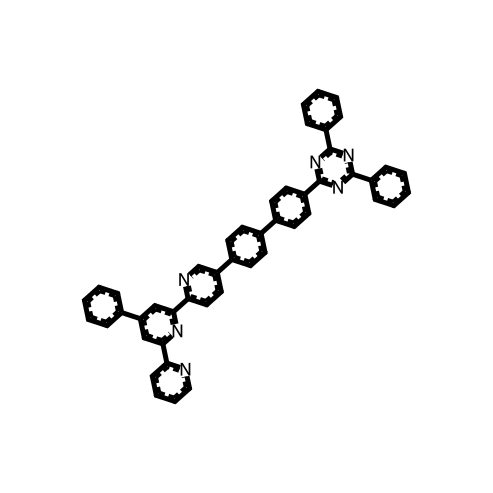 c1ccc(-c2cc(-c3ccccn3)nc(-c3ccc(-c4ccc(-c5ccc(-c6nc(-c7ccccc7)nc(-c7ccccc7)n6)cc5)cc4)cn3)c2)cc1